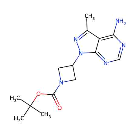 Cc1nn(C2CN(C(=O)OC(C)(C)C)C2)c2ncnc(N)c12